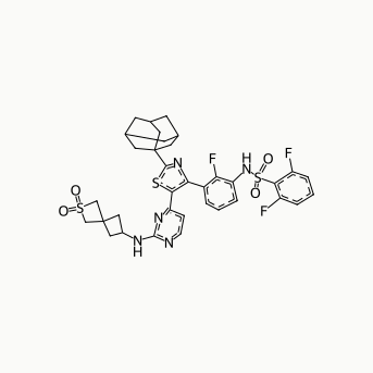 O=S1(=O)CC2(CC(Nc3nccc(-c4sc(C56CC7CC(CC(C7)C5)C6)nc4-c4cccc(NS(=O)(=O)c5c(F)cccc5F)c4F)n3)C2)C1